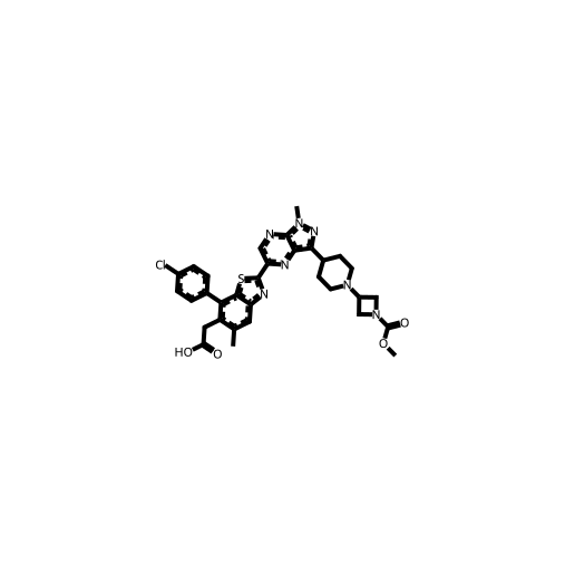 COC(=O)N1CC(N2CCC(c3nn(C)c4ncc(-c5nc6cc(C)c(CC(=O)O)c(-c7ccc(Cl)cc7)c6s5)nc34)CC2)C1